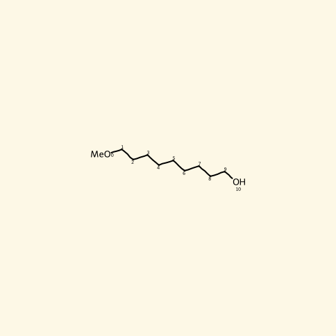 COCCCCCCCCCO